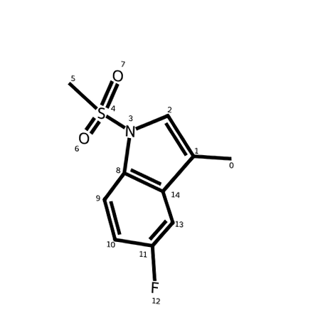 Cc1cn(S(C)(=O)=O)c2ccc(F)cc12